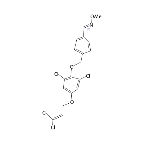 CO/N=C/c1ccc(COc2c(Cl)cc(OCC=C(Cl)Cl)cc2Cl)cc1